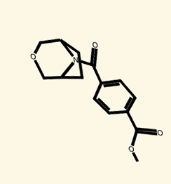 COC(=O)c1ccc(C(=O)N2C3CCC2COC3)cc1